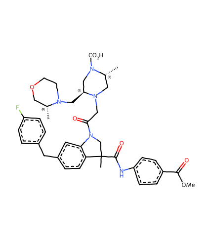 COC(=O)c1ccc(NC(=O)C2(C)CN(C(=O)CN3C[C@@H](C)N(C(=O)O)C[C@@H]3CN3CCOC[C@H]3C)c3cc(Cc4ccc(F)cc4)ccc32)cc1